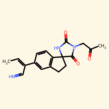 C/C=C(\C=N)c1ccc2c(c1)CCC21NC(=O)N(CC(C)=O)C1=O